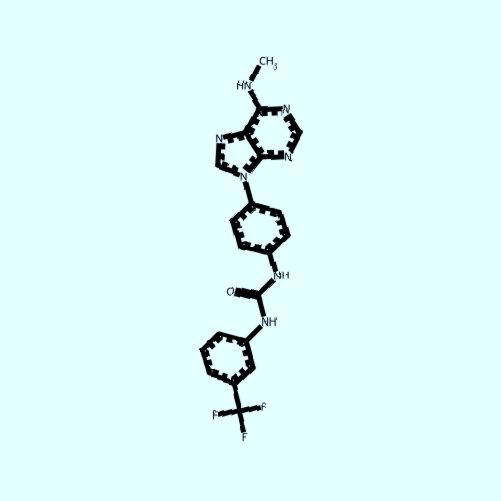 CNc1ncnc2c1ncn2-c1ccc(NC(=O)Nc2cccc(C(F)(F)F)c2)cc1